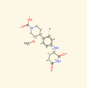 CO[C@@H]1CN(C(=O)O)CCC1c1ccc(NC2CCC(=O)NC2=O)cc1F